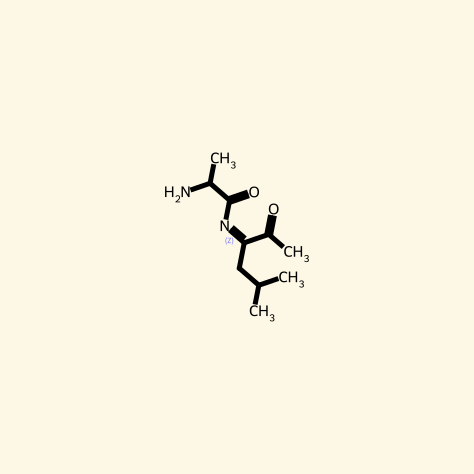 CC(=O)/C(CC(C)C)=N\C(=O)C(C)N